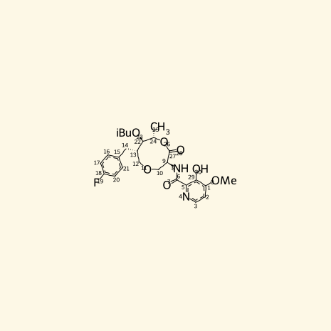 COc1ccnc(C(=O)N[C@H]2COC[C@H](Cc3ccc(F)cc3)[C@@H](OCC(C)C)[C@H](C)OC2=O)c1O